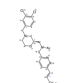 CC(=O)N(C[C@@H]1CN(Cc2ccc(Cl)c(Cl)c2)CCO1)Sc1ccc(/C=C/C(=O)O)nn1